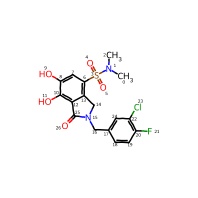 CN(C)S(=O)(=O)c1cc(O)c(O)c2c1CN(Cc1ccc(F)c(Cl)c1)C2=O